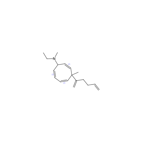 C=CCCC(=C)C1(C)/C=C\C=C/C(N(C)CC)/C=C\1